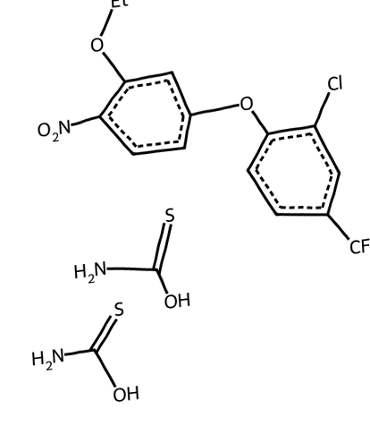 CCOc1cc(Oc2ccc(C(F)(F)F)cc2Cl)ccc1[N+](=O)[O-].NC(O)=S.NC(O)=S